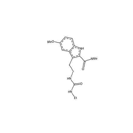 CCNC(=O)NCCc1c(C(=O)NC)[nH]c2ccc(OC)cc12